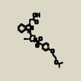 CC(C)OCCOc1ccc(S(=O)(=O)N2C[C@@H](C)[C@@H](n3nc(CC(=O)O)c4ccccc43)C2)cc1